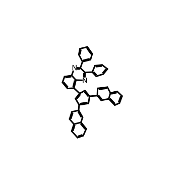 c1ccc(-c2nc3cccc(-c4cc(-c5ccc6ccccc6c5)cc(-c5ccc6ccccc6c5)c4)c3nc2-c2ccccc2)cc1